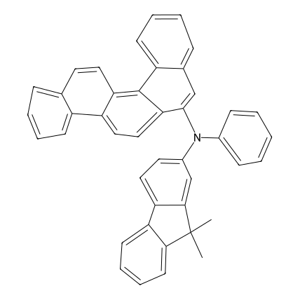 CC1(C)c2ccccc2-c2ccc(N(c3ccccc3)c3cc4ccccc4c4c3ccc3c5ccccc5ccc34)cc21